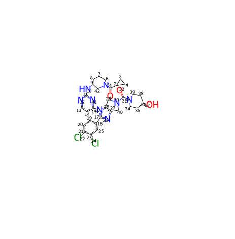 O=C(C1CC1)N1CCCC(Nc2nccc(-n3c(-c4ccc(Cl)c(Cl)c4)nc4c3CN(C(=O)N3CCC(O)CC3)C4)n2)C1